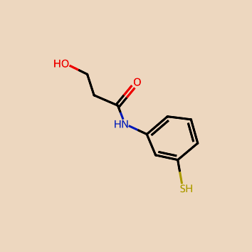 O=C(CCO)Nc1cccc(S)c1